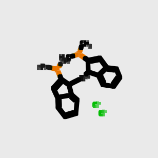 CCCP(CCC)C1=Cc2ccccc2[CH]1[Ti+2][CH]1C(P(C)C)=Cc2ccccc21.[Cl-].[Cl-]